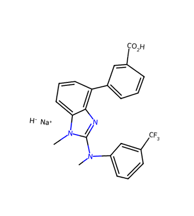 CN(c1cccc(C(F)(F)F)c1)c1nc2c(-c3cccc(C(=O)O)c3)cccc2n1C.[H-].[Na+]